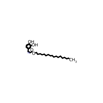 CCCCCCCCCCCCCCCCCCOC(=O)/C=C\c1ccc(O)c(O)c1